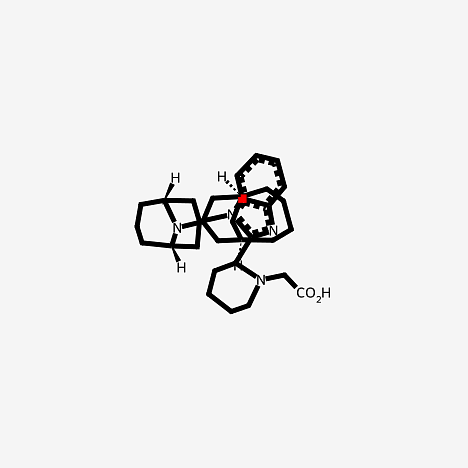 O=C(O)CN1CCCCC1c1nc2ccccc2n1C1C[C@H]2CCC[C@@H](C1)N2C1C[C@H]2CCCC[C@@H](C1)C2